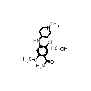 COc1cc(NC2CCN(C)CC2)c(Cl)cc1C(N)=O.Cl.Cl